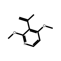 C=C(C)c1c(OC)ccnc1OC